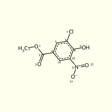 COC(=O)c1cc(Cl)c(O)c([N+](=O)[O-])c1